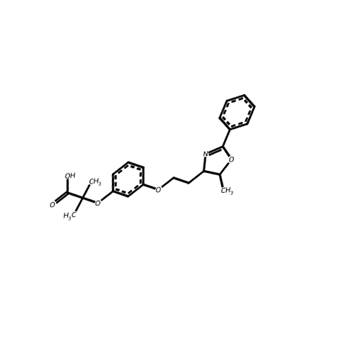 CC1OC(c2ccccc2)=NC1CCOc1cccc(OC(C)(C)C(=O)O)c1